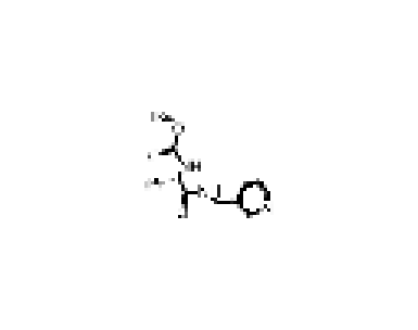 CC(C)[C@H](NC(=O)OC(C)(C)C)C(=O)NCc1cccnc1